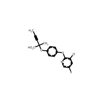 CC#CC(C)(Oc1ccc(Oc2ncc(F)cc2Cl)cc1)C(=O)O